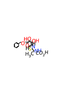 CC(NC(=O)O)C1=N[C@@H]2[C@@H](O)[C@H](O)[C@@H](COCc3ccccc3)O[C@@H]2S1